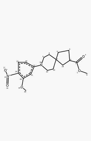 COC(=O)C1CCC2(CCN(c3ccc([N+](=O)[O-])c(OC)c3)CC2)C1